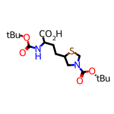 CC(C)(C)OC(=O)NC(CCC1CN(C(=O)OC(C)(C)C)CS1)C(=O)O